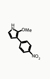 COc1[nH]ccc1-c1ccc([N+](=O)[O-])cc1